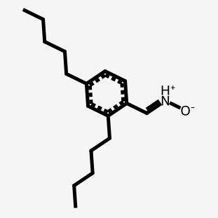 CCCCCc1ccc(C=[NH+][O-])c(CCCCC)c1